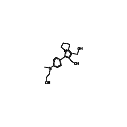 CN(CCO)c1ccc(-c2c(CO)c(CO)c3n2CCC3)cc1